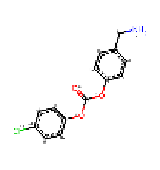 NCc1ccc(OC(=O)Oc2ccc(Cl)cc2)cc1